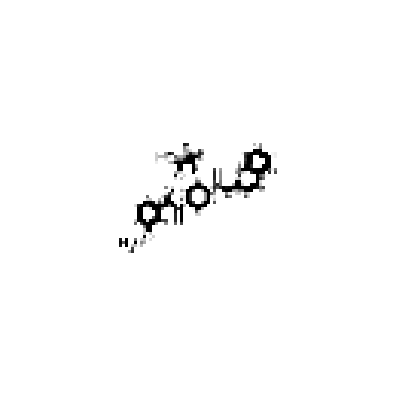 COc1cccc(C(=O)N[C@H]2CC[C@@H](NCc3ccc4ccccc4n3)CC2)c1.O=C(O)C(F)(F)F